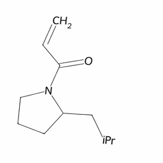 C=CC(=O)N1CCCC1CC(C)C